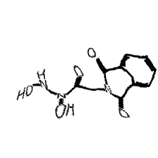 O=C(CN1C(=O)c2ccccc2C1=O)N(O)NO